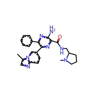 Cc1cnc2ccc(-c3nc(C(=O)NCC4CCCN4C)c(N)nc3-c3ccccc3)cn12